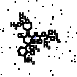 CC(C)(C)OC(=O)/N=C1\N[C@](C)(c2cccc(N)c2Cl)CC(=O)N1[C@H]1CCOC(C)(C)C1